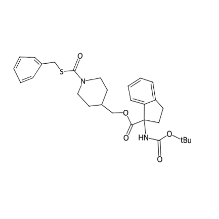 CC(C)(C)OC(=O)NC1(C(=O)OCC2CCN(C(=O)SCc3ccccc3)CC2)CCc2ccccc21